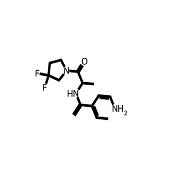 C=C(NC(C)C(=O)N1CCC(F)(F)C1)C(/C=C\N)=C/C